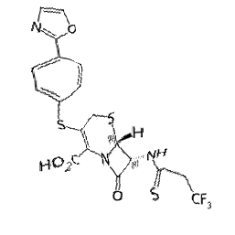 O=C(O)C1=C(Sc2ccc(-c3ncco3)cc2)CS[C@@H]2[C@H](NC(=S)CC(F)(F)F)C(=O)N12